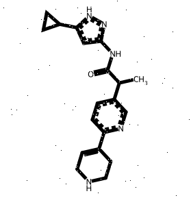 CC(C(=O)Nc1cc(C2CC2)[nH]n1)c1ccc(C2=CCNCC2)nc1